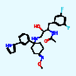 CON=C1CCC(NCC(O)C(Cc2cc(F)cc(F)c2)NC(C)=O)(c2cccc(-c3ccc[nH]3)c2)CC1